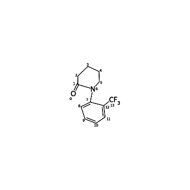 O=C1CCCCN1c1ccccc1C(F)(F)F